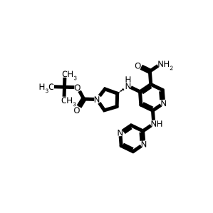 CC(C)(C)OC(=O)N1CC[C@@H](Nc2cc(Nc3cnccn3)ncc2C(N)=O)C1